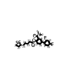 CN(C)C(=O)c1cc(-c2ccc(F)cc2F)ccc1OC(=O)CCCC[C@@H]1CCSS1